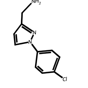 NCc1ccn(-c2ccc(Cl)cc2)n1